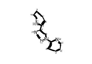 c1ccc(-c2cn(-c3ccccn3)nn2)nc1